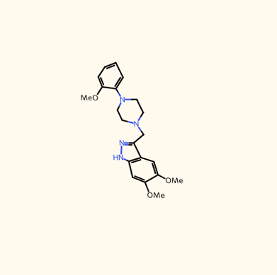 COc1cc2[nH]nc(CN3CCN(c4ccccc4OC)CC3)c2cc1OC